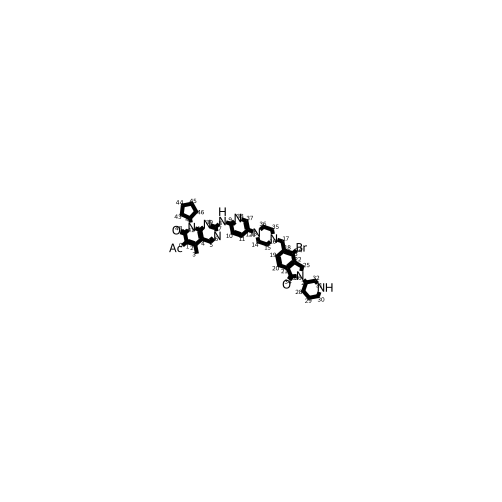 CC(=O)c1c(C)c2cnc(Nc3ccc(N4CCN(Cc5ccc6c(c5Br)CN(C5CCCNC5)C6=O)CC4)cn3)nc2n(C2CCCC2)c1=O